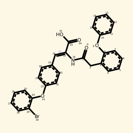 O=C(Cc1ccccc1Oc1ccccc1)N/C(=C\c1ccc(Oc2ccccc2Br)cc1)C(=O)O